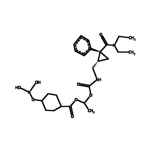 CCN(CC)C(=O)[C@]1(c2ccccc2)C[C@@H]1CNC(=O)OC(C)OC(=O)C1CCC(ON(O)O)CC1